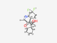 Cc1nc2c(F)c(F)ccc2cc1Oc1ccccc1[Si](C)(C)O